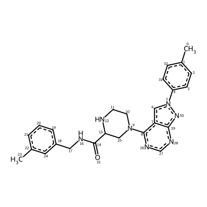 Cc1ccc(-n2cc3c(N4CCNC(C(=O)NCc5cccc(C)c5)C4)ncnc3n2)cc1